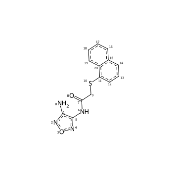 Nc1nonc1NC(=O)CSc1cccc2ccccc12